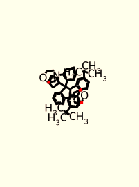 CC(C)(C)c1ccc2c(c1)C(C(C1=CC=CC1)(c1ccccc1N1CCOCC1)c1ccccc1N1CCOCC1)c1cc(C(C)(C)C)ccc1-2